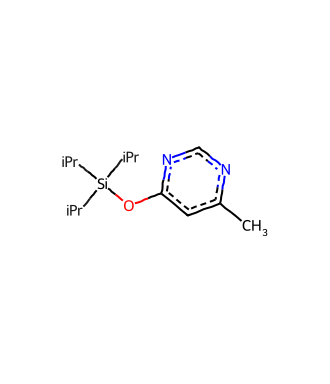 Cc1cc(O[Si](C(C)C)(C(C)C)C(C)C)ncn1